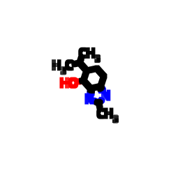 CC1N=C2CCC(C(C)C)C(O)C2=N1